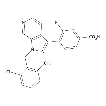 Cc1cccc(Cl)c1Cn1nc(-c2ccc(C(=O)O)cc2F)c2ccncc21